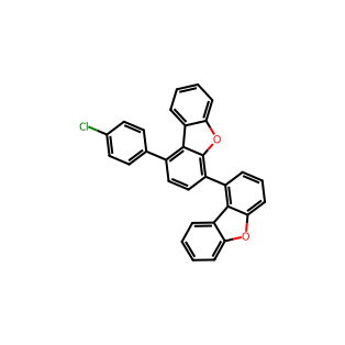 Clc1ccc(-c2ccc(-c3cccc4oc5ccccc5c34)c3oc4ccccc4c23)cc1